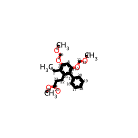 CCc1c(OCOC)cc(OCOC)c(-c2ccccc2)c1CCC(=O)OC